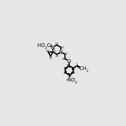 C=Cc1cc([N+](=O)[O-])ccc1OCCN1CCN(C(=O)O)C2(CC2)C1